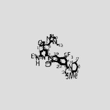 CCNc1cc(C2(Cc3nncn3C)COC2)cc(N2Cc3c(cc([C@H](CSC)N4CCC[C@H](C)C4)cc3C(F)(F)F)C2=O)n1